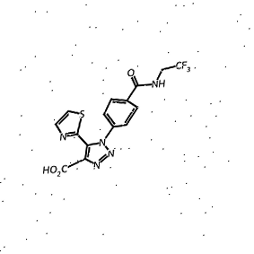 O=C(NCC(F)(F)F)c1ccc(-n2nnc(C(=O)O)c2-c2nccs2)cc1